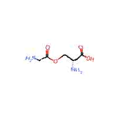 NCC(=O)OC[C@@H](N)C(=O)O